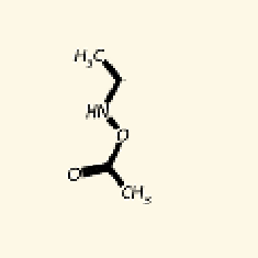 C[CH]NOC(C)=O